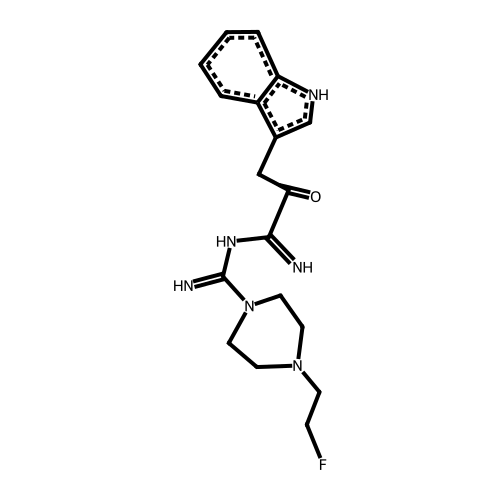 N=C(NC(=N)N1CCN(CCF)CC1)C(=O)Cc1c[nH]c2ccccc12